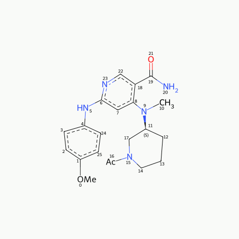 COc1ccc(Nc2cc(N(C)[C@H]3CCCN(C(C)=O)C3)c(C(N)=O)cn2)cc1